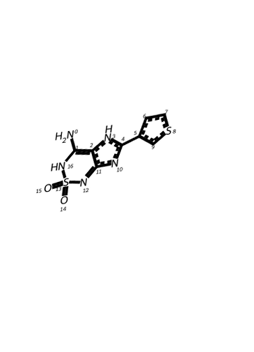 NC1=c2[nH]c(-c3ccsc3)nc2=NS(=O)(=O)N1